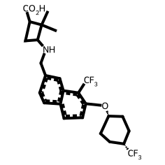 CC1(C)C(NCc2ccc3ccc(O[C@H]4CC[C@@H](C(F)(F)F)CC4)c(C(F)(F)F)c3c2)CC1C(=O)O